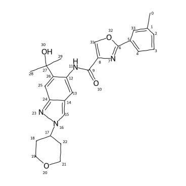 Cc1cccc(-c2nc(C(=O)Nc3cc4cn(C5CCOCC5)nc4cc3C(C)(C)O)co2)c1